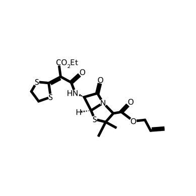 C=CCOC(=O)C1N2C(=O)[C@@H](NC(=O)C(C(=O)OCC)=C3SCCS3)[C@@H]2SC1(C)C